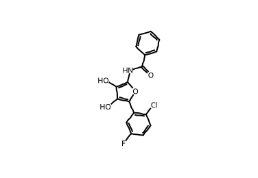 O=C(Nc1oc(-c2cc(F)ccc2Cl)c(O)c1O)c1ccccc1